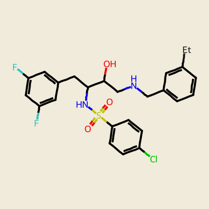 CCc1cccc(CNCC(O)C(Cc2cc(F)cc(F)c2)NS(=O)(=O)c2ccc(Cl)cc2)c1